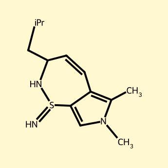 Cc1c2c(cn1C)S(=N)NC(CC(C)C)C=C2